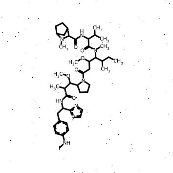 CCC(C)C(C(CC(=O)N1CCCC1C(OC)C(C)C(=O)NC(Cc1ccc(NI)cc1)c1nccs1)OC)N(C)C(=O)C(NC(=O)C1C2CCC(C2)N1C)C(C)C